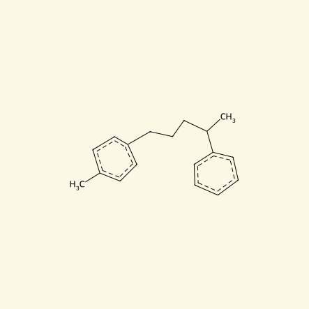 Cc1ccc(CCCC(C)c2ccccc2)cc1